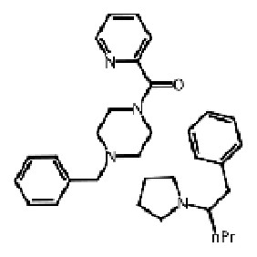 CCCC(Cc1ccccc1)N1CCCC1.O=C(c1ccccn1)N1CCN(Cc2ccccc2)CC1